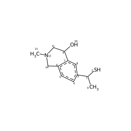 CC(S)c1ccc2c(c1)C(O)CN(C)C2